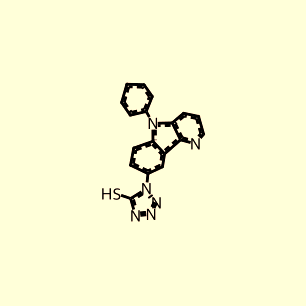 Sc1nnnn1-c1ccc2c(c1)c1ncccc1n2-c1ccccc1